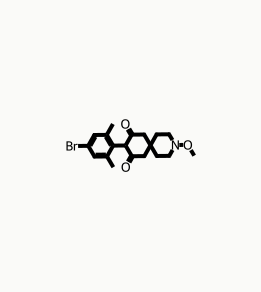 CON1CCC2(CC1)CC(=O)C(c1c(C)cc(Br)cc1C)C(=O)C2